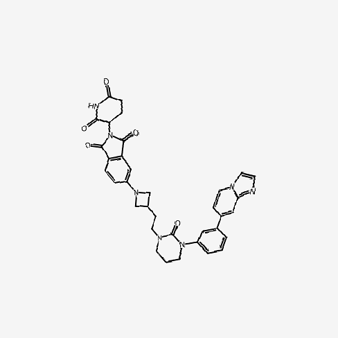 O=C1CCC(N2C(=O)c3ccc(N4CC(CCN5CCCN(c6cccc(-c7ccn8ccnc8c7)c6)C5=O)C4)cc3C2=O)C(=O)N1